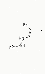 CC/C=C\NNCCC